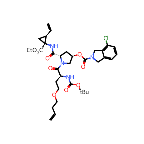 C=CCCOCC[C@H](NC(=O)OC(C)(C)C)C(=O)N1C[C@H](OC(=O)N2Cc3cccc(Cl)c3C2)C[C@H]1C(=O)N[C@]1(C(=O)OCC)C[C@H]1C=C